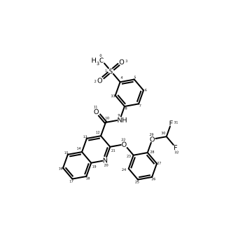 CS(=O)(=O)c1cccc(NC(=O)c2cc3ccccc3nc2Oc2ccccc2OC(F)F)c1